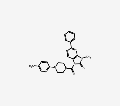 Cc1ccc(N2CCN(C(=O)n3c(=O)n(C)c4nc(-c5ccccc5)ncc43)CC2)nc1